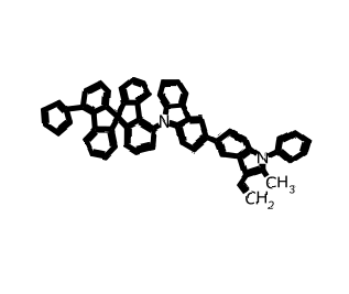 C=Cc1c(C)n(-c2ccccc2)c2ccc(-c3ccc4c(c3)c3ccccc3n4-c3cccc4c3-c3ccccc3C43c4ccccc4-c4c(-c5ccccc5)cccc43)cc12